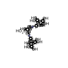 O=C(/C=C/c1ccc2c(c1)OC1(c3ccc(O)c(O)c3)Oc3cc(O)cc(O)c3C(=O)C1(O)O2)O[C@@H]1[C@H](O)C[C@@](O)(C(=O)O)C[C@H]1OC(=O)/C=C/c1ccc2c(c1)OC1(O)C(=O)c3c(O)cc(O)cc3OC1(c1ccc(O)c(O)c1)O2